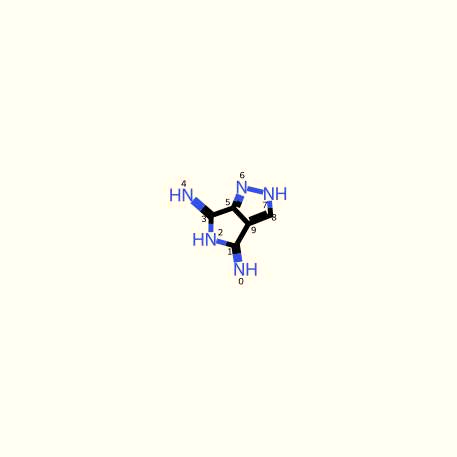 N=C1NC(=N)c2n[nH]cc21